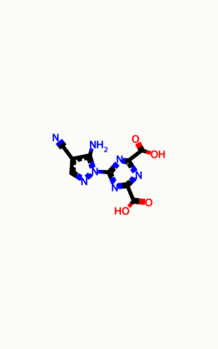 N#Cc1cnn(-c2nc(C(=O)O)nc(C(=O)O)n2)c1N